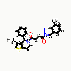 Cc1csc2c1C(c1ccccc1)N(C(=O)CCC(=O)NCc1cccc(C(F)(F)F)c1)CC2